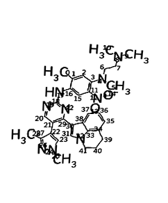 Cc1cc(N(C)CCN(C)C)c([N+](=O)[O-])cc1Nc1ncc(-c2cn(C)nc2C)c(-c2cn3c4c(cccc24)CCC3)n1